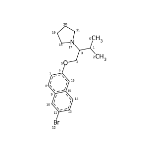 CC(C)C(COc1ccc2cc(Br)ccc2c1)N1CCCC1